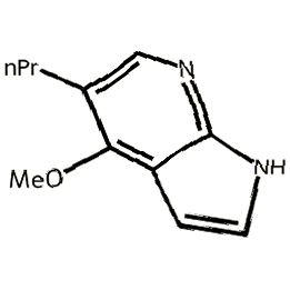 CCCc1cnc2[nH]ccc2c1OC